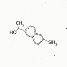 CC(O)c1ccc2cc([SiH3])ccc2c1